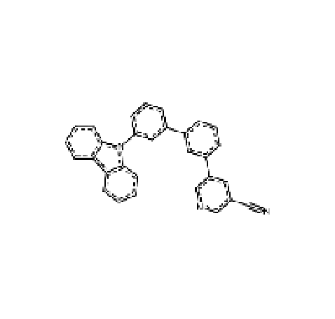 N#Cc1cncc(-c2cccc(-c3cccc(-n4c5ccccc5c5ccccc54)c3)c2)c1